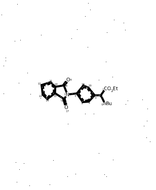 CCCCC(C(=O)OCC)c1ccc(N2C(=O)c3ccccc3C2=O)cc1